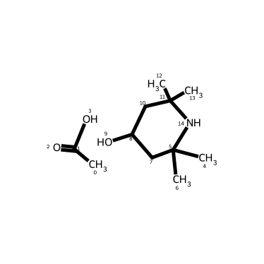 CC(=O)O.CC1(C)CC(O)CC(C)(C)N1